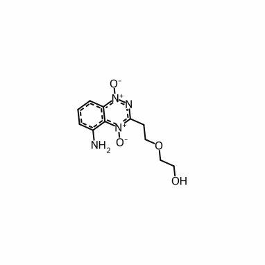 Nc1cccc2c1[n+]([O-])c(CCOCCO)n[n+]2[O-]